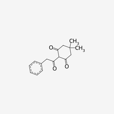 CC1(C)CC(=O)C(C(=O)Cc2ccccc2)C(=O)C1